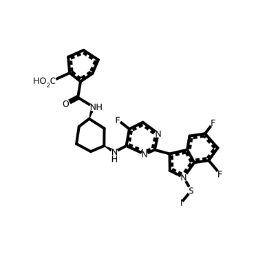 O=C(O)c1ccccc1C(=O)N[C@@H]1CCC[C@H](Nc2nc(-c3cn(SI)c4c(F)cc(F)cc34)ncc2F)C1